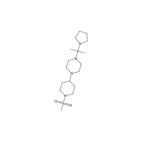 CC(C)(N1CCCC1)N1CCN(C2CCN(S(C)(=O)=O)CC2)CC1